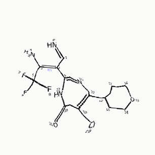 N=C/C(=C(\N)C(F)(F)F)c1nc(C2CCOCC2)c(Cl)c(=O)[nH]1